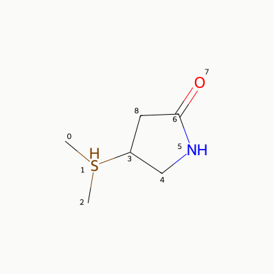 C[SH](C)C1CNC(=O)C1